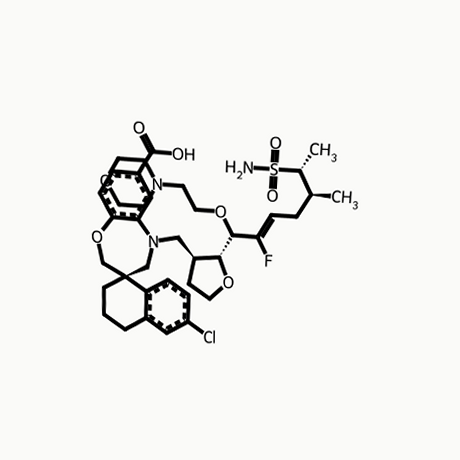 C[C@H]([C@@H](C)C/C=C(\F)C(OCCN1CCOCC1)[C@@H]1OCC[C@H]1CN1C[C@@]2(CCCc3cc(Cl)ccc32)COc2ccc(C(=O)O)cc21)S(N)(=O)=O